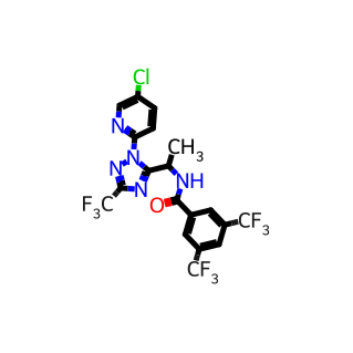 CC(NC(=O)c1cc(C(F)(F)F)cc(C(F)(F)F)c1)c1nc(C(F)(F)F)nn1-c1ccc(Cl)cn1